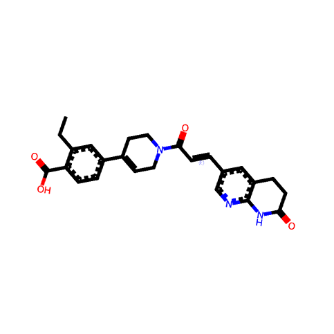 CCc1cc(C2=CCN(C(=O)/C=C/c3cnc4c(c3)CCC(=O)N4)CC2)ccc1C(=O)O